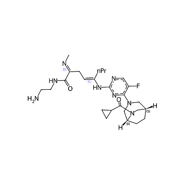 CCC/C(=C\C/C(=N\C)C(=O)NCCN)Nc1ncc(F)c(N2C[C@@H]3CC[C@H](C2)N(C(=O)C2CC2)C3)n1